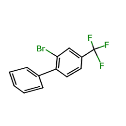 FC(F)(F)c1ccc(-c2ccccc2)c(Br)c1